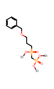 CCOP(=O)(CCCOCc1ccccc1)CP(=O)(OCC)OCC